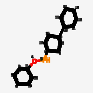 c1ccc(OPc2ccc(-c3ccccc3)cc2)cc1